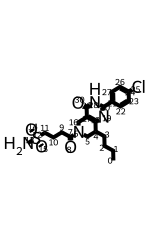 CCCCC1CN(C(=O)CCCS(N)(=O)=O)Cc2c1nc(-c1ccc(Cl)cc1)[nH]c2=O